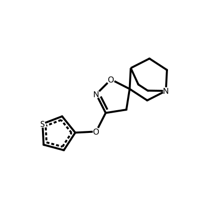 c1cc(OC2=NOC3(C2)CN2CCC3CC2)cs1